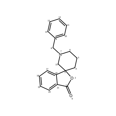 O=C1OC2(CCCN(Cc3ccccc3)C2)c2ccccc21